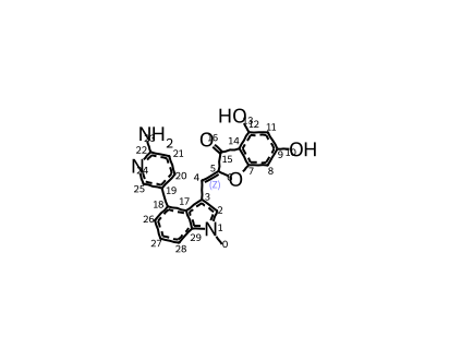 Cn1cc(/C=C2\Oc3cc(O)cc(O)c3C2=O)c2c(-c3ccc(N)nc3)cccc21